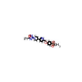 CC(C)c1nc(N2CCC(c3ccc(COc4ccc(S(C)(=O)=O)cc4)nc3)CC2)no1